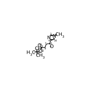 Cn1cnc(C(=O)CCC(=O)OC(C)(C)C)c1